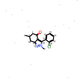 CC1CC(=O)c2c(nn(C)c2-c2ccccc2Cl)C1